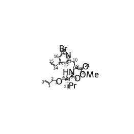 C=CCOC[C@H](C(=O)N[C@@H](Cc1cc(C=C)cc(Br)n1)C(=O)OC)C(C)C